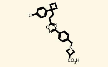 O=C(O)C1CN(Cc2ccc(-c3noc(CCC4(c5ccc(Cl)cc5)CCC4)n3)cc2)C1